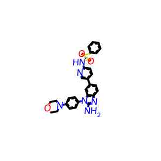 Nc1nc2ccc(-c3ccc(NS(=O)(=O)c4ccccc4)nc3)cc2n1-c1ccc(N2CCOCC2)cc1